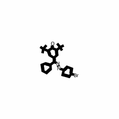 CC(C)(C)C1=CC(=C(N=Nc2ccc(Br)cc2)c2ccccc2)C=C(C(C)(C)C)C1=O